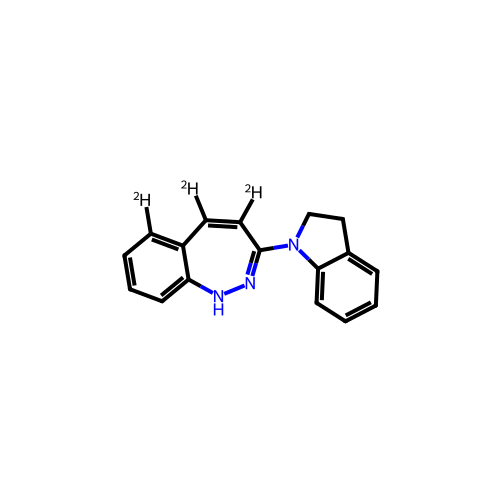 [2H]C1=C([2H])c2c([2H])cccc2NN=C1N1CCc2ccccc21